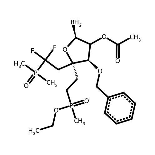 B[C@@H]1O[C@](CCP(C)(=O)OCC)(CC(F)(F)P(C)(C)=O)[C@H](OCc2ccccc2)C1OC(C)=O